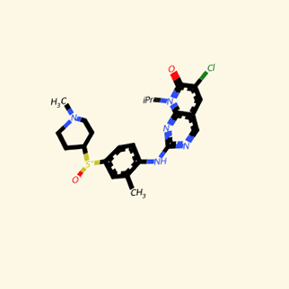 Cc1cc([S+]([O-])C2CCN(C)CC2)ccc1Nc1ncc2cc(Cl)c(=O)n(C(C)C)c2n1